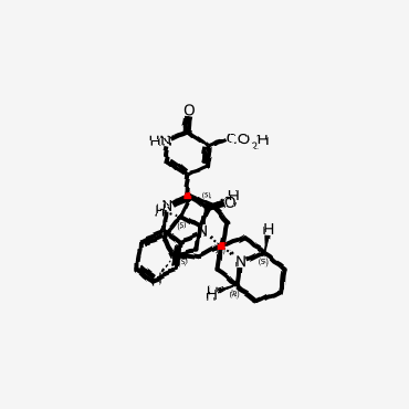 O=C(O)c1cc(-c2nc3ccccc3n([C@H]3C[C@H]4CCC[C@@H](C3)N4[C@@H]3C[C@@H]4CC5[C@@H](C4)C[C@H]5C3)c2=O)c[nH]c1=O